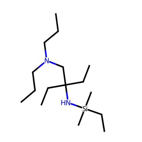 CCCN(CCC)CC(CC)(CC)N[Si](C)(C)CC